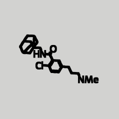 CNCCCc1ccc(Cl)c(C(=O)NCC23CC4CC(CC(C4)C2)C3)c1